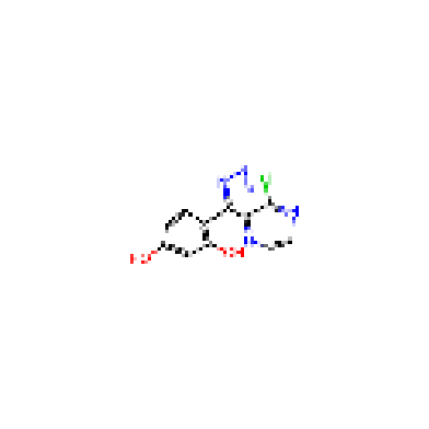 NN=C(c1ccc(O)cc1O)c1nccnc1Cl